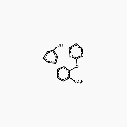 O=C(O)c1ccccc1Oc1ncccn1.Oc1ccccc1